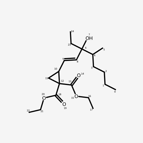 CCCCC(C)C(O)(/C=C/C1CC1(C(=O)OCC)C(=O)OCC)CC